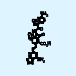 Nc1nc(C(=NO)C(=O)NC2C(=O)N3C(C(=O)O)=C(CSc4cc(N)c5nnnn5n4)C[S@](=S=O)[C@@H]23)cs1